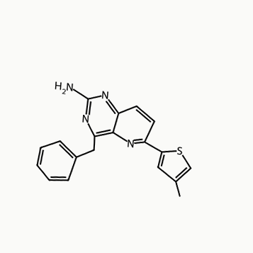 Cc1csc(-c2ccc3nc(N)nc(Cc4ccccc4)c3n2)c1